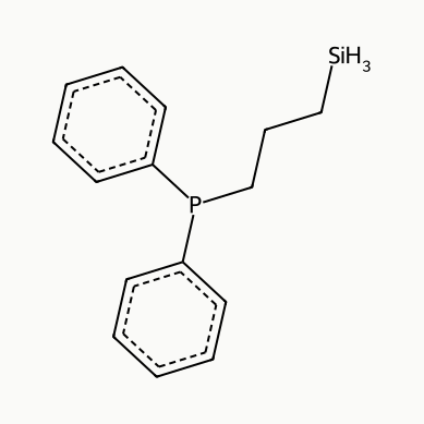 [SiH3]CCCP(c1ccccc1)c1ccccc1